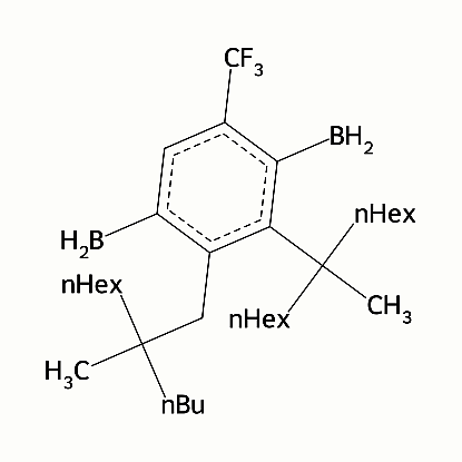 Bc1cc(C(F)(F)F)c(B)c(C(C)(CCCCCC)CCCCCC)c1CC(C)(CCCC)CCCCCC